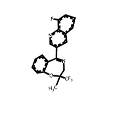 CC1(C(F)(F)F)CN=C(c2cnc3c(F)cccc3c2)c2ccccc2O1